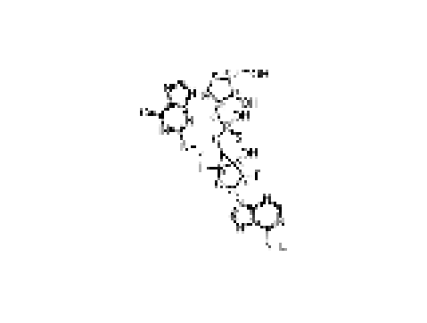 Nc1nc2c(ncn2[C@@H]2S[C@H](CO)[C@@H](O)[C@H]2OP(O)(=S)OC2[C@H]3O[C@@H](n4cnc5c(N)ncnc54)[C@@H](F)[C@@]23O)c(=O)[nH]1